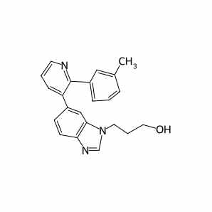 Cc1cccc(-c2ncccc2-c2ccc3ncn(CCCO)c3c2)c1